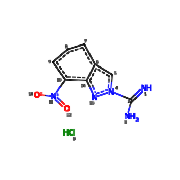 Cl.N=C(N)n1cc2cccc([N+](=O)[O-])c2n1